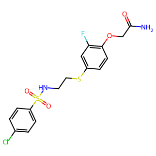 NC(=O)COc1ccc(SCCNS(=O)(=O)c2ccc(Cl)cc2)cc1F